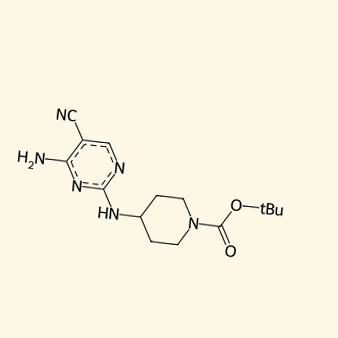 CC(C)(C)OC(=O)N1CCC(Nc2ncc(C#N)c(N)n2)CC1